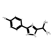 CC(O)c1nc(-c2ccc(F)cc2)no1